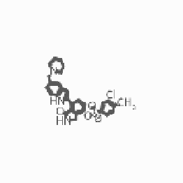 Cc1ccc(S(=O)(=O)Oc2ccc(-c3cc4cc(CN5CCCCC5)ccc4[nH]3)c3c2CNC3=O)cc1Cl